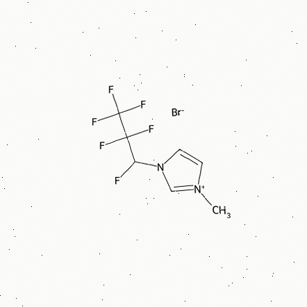 C[n+]1ccn(C(F)C(F)(F)C(F)(F)F)c1.[Br-]